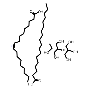 CCCCCCCC/C=C\CCCCCCCC(=O)O.CCCCCCCCCCCCCCCCCC(=O)O.CCO.OCC(O)CO.OCC(O)CO